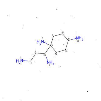 NCCC(N)C1(N)CCC(N)CC1